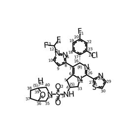 O=S(=O)(N[C@H]1CC2=C(c3ccn(C(F)F)n3)[C@H](c3ccc(F)cc3Cl)N=C(c3nccs3)N2C1)N1CC2CC[C@@H](C1)O2